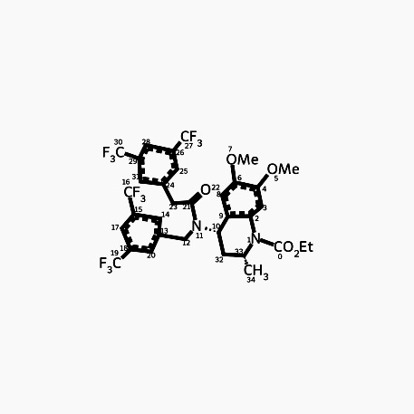 CCOC(=O)N1c2cc(OC)c(OC)cc2[C@@H](N(Cc2cc(C(F)(F)F)cc(C(F)(F)F)c2)C(=O)Cc2cc(C(F)(F)F)cc(C(F)(F)F)c2)C[C@H]1C